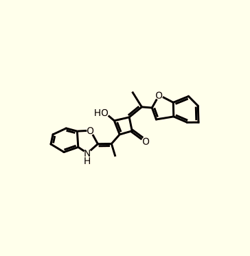 C/C(C1=C(O)/C(=C(\C)c2cc3ccccc3o2)C1=O)=C1\Nc2ccccc2O1